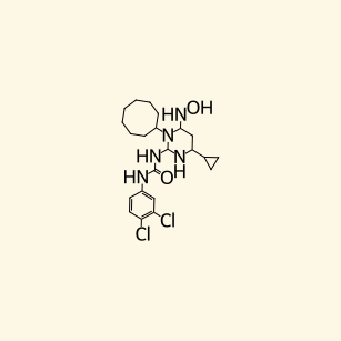 O=C(Nc1ccc(Cl)c(Cl)c1)NC1NC(C2CC2)CC(NO)N1C1CCCCCCC1